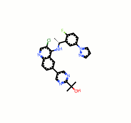 C[C@@H](Nc1c(Cl)cnc2ccc(-c3cnc(C(C)(C)O)nc3)cc12)c1cc(-n2cccn2)ccc1F